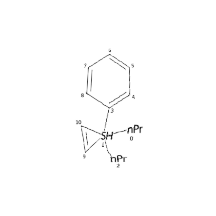 CCC[SH]1(CCC)(c2ccccc2)C=C1